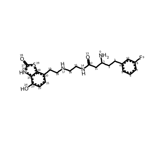 NC(CCc1cccc(F)c1)CC(=O)NCCNCCc1ccc(O)c2[nH]c(=O)sc12